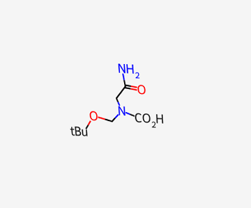 CC(C)(C)OCN(CC(N)=O)C(=O)O